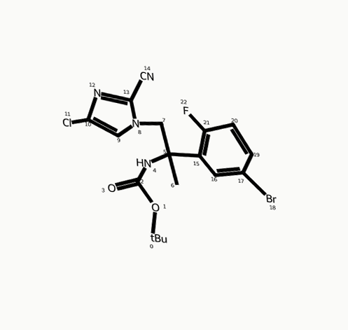 CC(C)(C)OC(=O)NC(C)(Cn1cc(Cl)nc1C#N)c1cc(Br)ccc1F